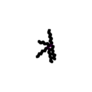 CCCCCCCP(CCCCCCC)C(CCCCC)P(CCCCCCC)CCCCCCC